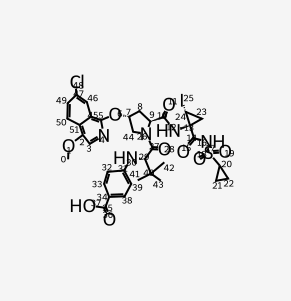 COc1cnc(O[C@@H]2C[C@@H](C(=O)N[C@]3(C(=O)NS(=O)(=O)C4CC4)C[C@H]3I)N(C(=O)[C@@H](Nc3ccc(C(=O)O)cc3)C(C)(C)C)C2)c2cc(Cl)ccc12